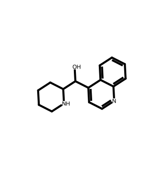 OC(c1ccnc2ccccc12)C1CCCCN1